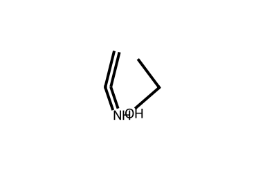 C=C=N.CCO